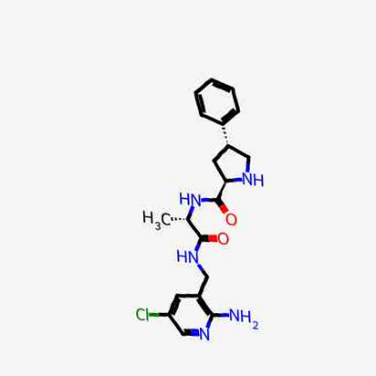 C[C@H](NC(=O)[C@H]1C[C@H](c2ccccc2)CN1)C(=O)NCc1cc(Cl)cnc1N